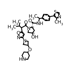 Cc1ncsc1-c1ccc(C(C)NC(=O)[C@@H]2C[C@@H](O)CN2C(=O)C(c2cc(N3CC(OC4CCNCC4)C3)no2)C(C)C)cc1